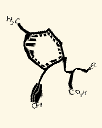 C#Cc1cc(C)ccc1C(CC)C(=O)O